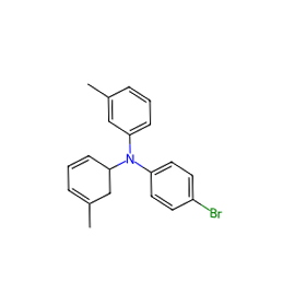 CC1=CC=CC(N(c2ccc(Br)cc2)c2cccc(C)c2)C1